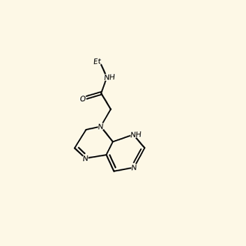 CCNC(=O)CN1CC=NC2=CN=CNC21